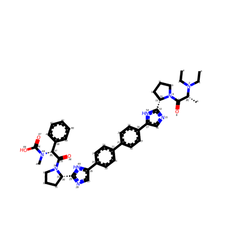 CCN(CC)[C@H](C)C(=O)N1CCC[C@H]1c1ncc(-c2ccc(-c3ccc(-c4cnc([C@@H]5CCCN5C(=O)[C@@H](c5ccccc5)N(C)C(=O)O)[nH]4)cc3)cc2)[nH]1